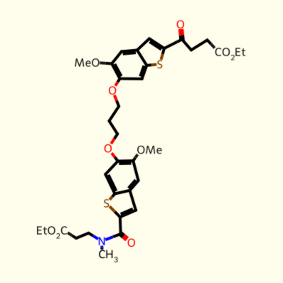 CCOC(=O)CCC(=O)c1cc2cc(OC)c(OCCCOc3cc4sc(C(=O)N(C)CCC(=O)OCC)cc4cc3OC)cc2s1